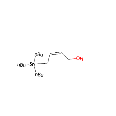 CCC[CH2][Sn]([CH2]/C=C\CO)([CH2]CCC)[CH2]CCC